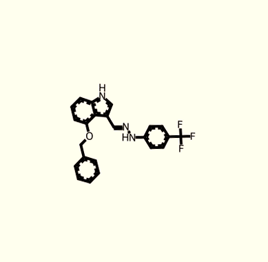 FC(F)(F)c1ccc(N/N=C/c2c[nH]c3cccc(OCc4ccccc4)c23)cc1